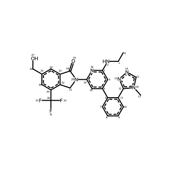 CCNc1cc(-c2ccccc2-c2nncn2C)cc(N2Cc3c(cc(CO)cc3C(F)(F)F)C2=O)n1